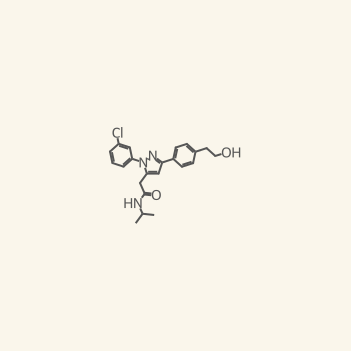 CC(C)NC(=O)Cc1cc(-c2ccc(CCO)cc2)nn1-c1cccc(Cl)c1